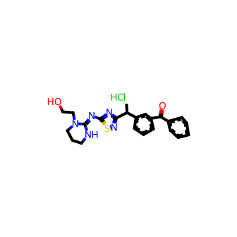 CC(c1cccc(C(=O)c2ccccc2)c1)c1nsc(/N=C2\NCCCN2CCO)n1.Cl